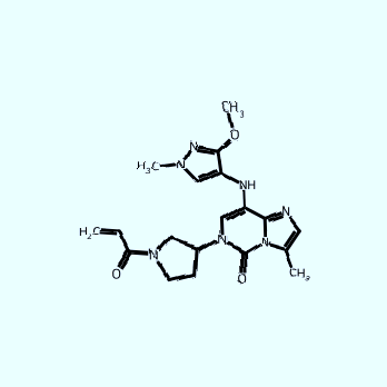 C=CC(=O)N1CCC(n2cc(Nc3cn(C)nc3OC)c3ncc(C)n3c2=O)C1